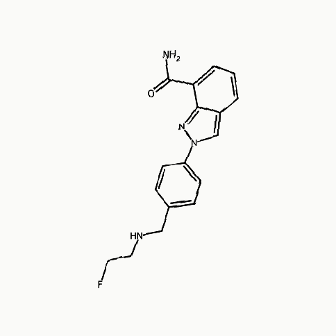 NC(=O)c1cccc2cn(-c3ccc(CNCCF)cc3)nc12